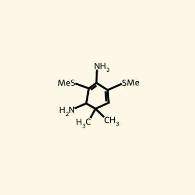 CSC1=CC(C)(C)C(N)C(SC)=C1N